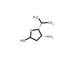 CC(C)[C@H]1OC(O)C[C@H]1C